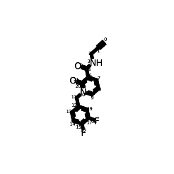 C#CCNC(=O)c1cccn(Cc2ccc(F)c(F)c2)c1=O